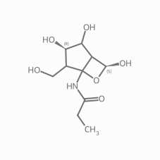 CCC(=O)NC12O[C@H](O)C1C(O)[C@H](O)C2CO